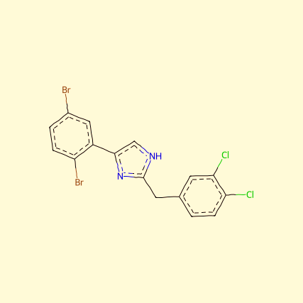 Clc1ccc(Cc2nc(-c3cc(Br)ccc3Br)c[nH]2)cc1Cl